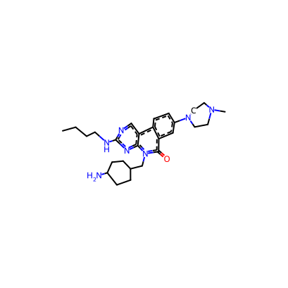 CCCCNc1ncc2c3ccc(N4CCN(C)CC4)cc3c(=O)n(CC3CCC(N)CC3)c2n1